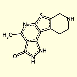 Cc1nc2sc3c(c2c2[nH][nH]c(=O)c12)CCNC3